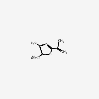 C=C(C)C1=NC(C)C(OC)O1